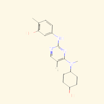 Cc1ccc(Nc2ncc([N+](=O)[O-])c(N(C)C3CCC(O)CC3)n2)cc1O